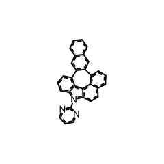 c1cnc(-n2c3cccc4c3c3c5c(cccc5ccc32)-c2cc3ccccc3cc2-4)nc1